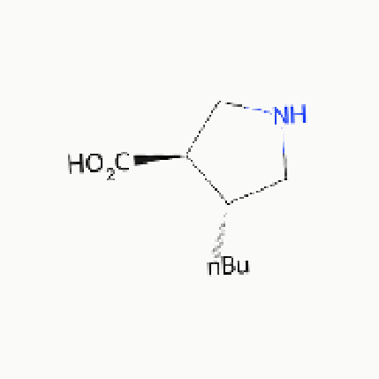 CCCC[C@H]1CNC[C@@H]1C(=O)O